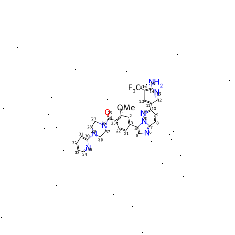 COc1cc(-c2cnc3ccc(-c4cnc(N)c(C(F)(F)F)c4)nn23)ccc1C(=O)N1CCN(c2ccccn2)CC1